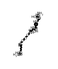 COP(=O)(O)OCCCCc1cn(CCOCCOCCOCCNC(=O)CCC(NC(=O)c2ccc(NCc3cnc4nc(N)nc(O)c4n3)cc2)C(=O)O)nn1